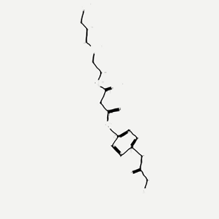 CC(=O)CC(=O)Cc1ccc(NC(=O)CC(=O)NCCOCCCOC(C)=O)cc1